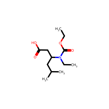 CCOC(=O)N(CC)C(CC(=O)O)CC(C)C